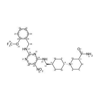 NC(=O)C1CCCN([C@H]2CC[C@H](CNc3nc(NCc4ccccc4OC(F)(F)F)ncc3[N+](=O)[O-])CC2)C1